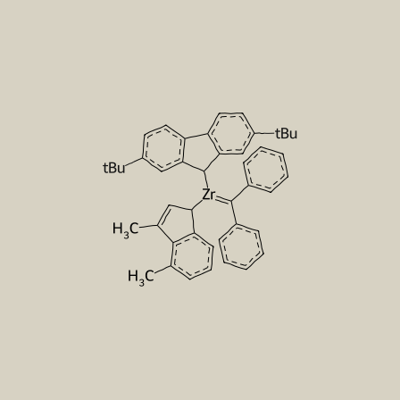 CC1=C[CH]([Zr](=[C](c2ccccc2)c2ccccc2)[CH]2c3cc(C(C)(C)C)ccc3-c3ccc(C(C)(C)C)cc32)c2cccc(C)c21